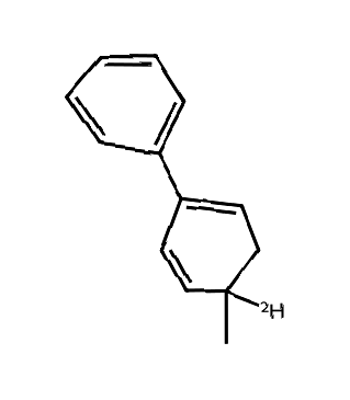 [2H]C1(C)C=CC(c2ccccc2)=CC1